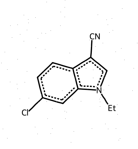 CCn1cc(C#N)c2ccc(Cl)cc21